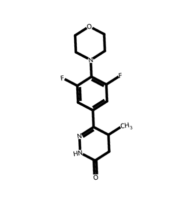 CC1CC(=O)NN=C1c1cc(F)c(N2CCOCC2)c(F)c1